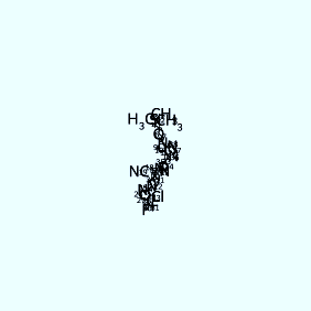 C[Si](C)(C)CCOCn1ccc2c(-c3cnn([C@@H](CC#N)[C@H]4CCN(c5nccc(C(F)F)c5Cl)C4)c3)ncnc21